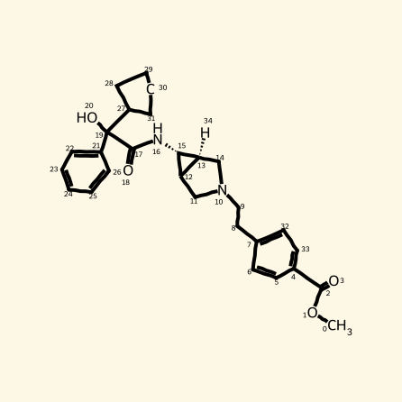 COC(=O)c1ccc(CCN2CC3[C@H](C2)[C@H]3NC(=O)C(O)(c2ccccc2)C2CCCC2)cc1